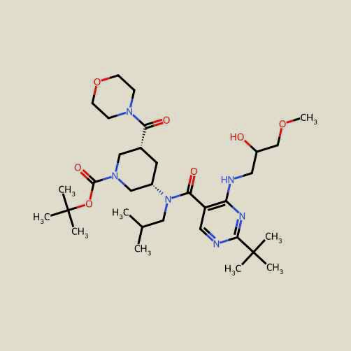 COCC(O)CNc1nc(C(C)(C)C)ncc1C(=O)N(CC(C)C)[C@H]1C[C@@H](C(=O)N2CCOCC2)CN(C(=O)OC(C)(C)C)C1